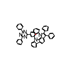 c1ccc(-c2nc(-c3ccccc3)nc(-c3cccc(-n4c5ccccc5c5ccc6c(-c7ccccc7)c(-c7ccccc7)n(-c7ccccc7)c6c54)c3)n2)cc1